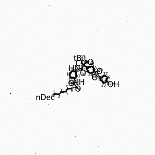 CCCCCCCCCCCCCCCCS(=O)(=O)Nc1cccc(NC(=O)C(Cl)(C(=O)C(C)(C)C)c2ccc(S(=O)(=O)c3ccc(O)cc3)cc2)c1